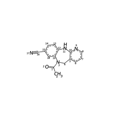 CC(=O)N1Cc2cccnc2Nc2ccc(C#N)cc21